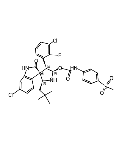 CC(C)(C)C[C@@H]1N[C@H](OC(=O)Nc2ccc(S(C)(=O)=O)cc2)[C@H](c2cccc(Cl)c2F)[C@]12C(=O)Nc1cc(Cl)ccc12